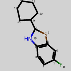 Fc1ccc2c(c1)SC(C1CCCCC1)N2